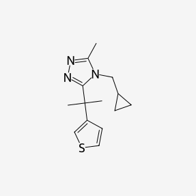 Cc1nnc(C(C)(C)c2ccsc2)n1CC1CC1